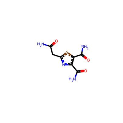 NC(=O)Cc1nc(C(N)=O)c(C(N)=O)s1